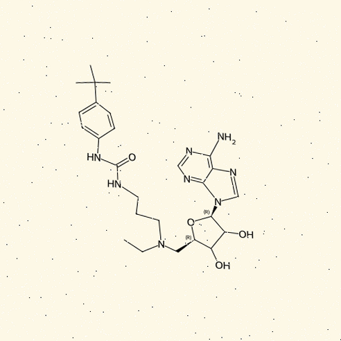 CCN(CCCNC(=O)Nc1ccc(C(C)(C)C)cc1)C[C@H]1O[C@@H](n2cnc3c(N)ncnc32)C(O)C1O